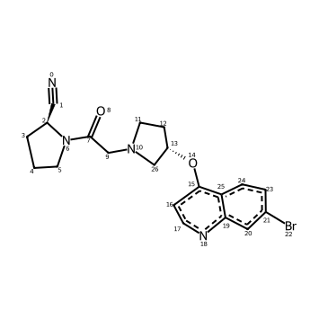 N#C[C@@H]1CCCN1C(=O)CN1CC[C@H](Oc2ccnc3cc(Br)ccc23)C1